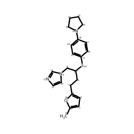 Cc1ccc(CCC(Cn2ccnc2)Sc2ccc(N3CCCC3)cc2)o1